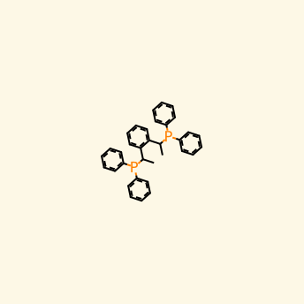 CC(c1ccccc1C(C)P(c1ccccc1)c1ccccc1)P(c1ccccc1)c1ccccc1